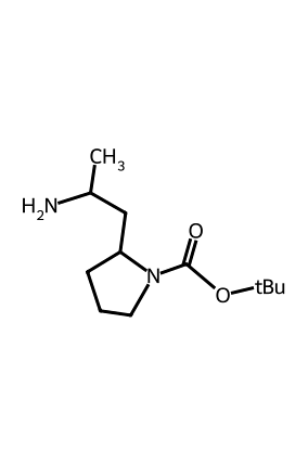 CC(N)CC1CCCN1C(=O)OC(C)(C)C